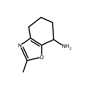 Cc1nc2c(o1)C(N)CCC2